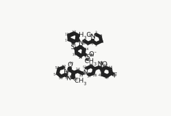 CN1CCCCC1CCN1c2ccccc2Sc2ccc([S+](C)[O-])cc21.Cc1nc2n(c(=O)c1CCN1CCC(c3noc4cc(F)ccc34)CC1)CCCC2